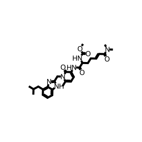 COC(=O)NC(CC/C=C/C(=O)N(C)C)C(=O)Nc1ccc(C)n(Cc2nc3c(CC(C)C)cccc3[nH]2)c1=O